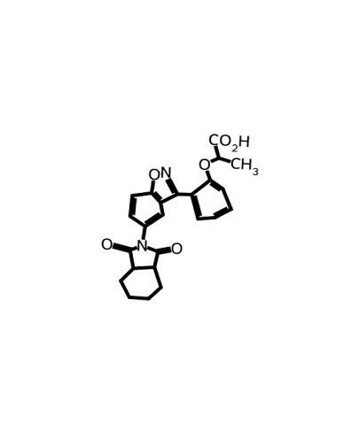 CC(Oc1ccccc1-c1noc2ccc(N3C(=O)C4CCCCC4C3=O)cc12)C(=O)O